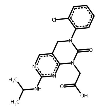 CC(C)Nc1ncc2c(n1)N(CC(=O)O)C(=O)N(c1ccccc1Cl)C2